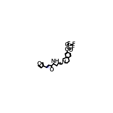 NC(CCCN1CCc2ccc(OS(=O)(=O)C(F)(F)F)cc2C1)C(=O)/C=C/c1ccoc1